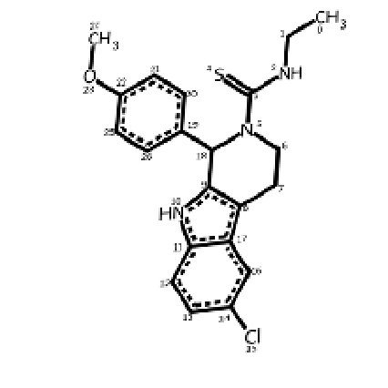 CCNC(=S)N1CCc2c([nH]c3ccc(Cl)cc23)C1c1ccc(OC)cc1